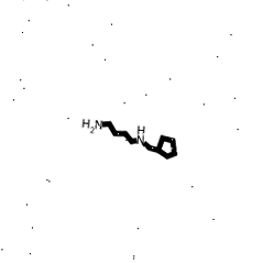 NCCCCNCC1CCCC1